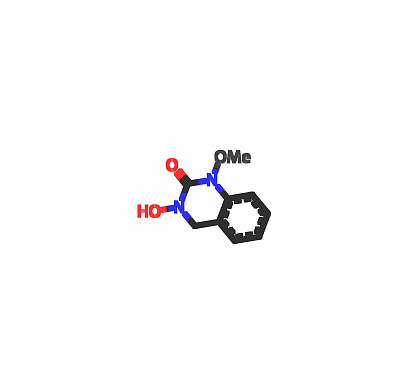 CON1C(=O)N(O)Cc2ccccc21